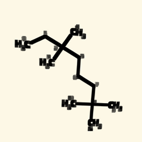 CCC(C)(C)C[CH]CC(C)(C)C